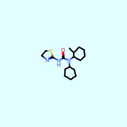 CC1CCCCC1N(C(=O)NC1=NCCS1)C1CCCCC1